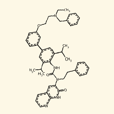 CCN(CCOc1cccc(-c2cc(C(C)C)c(NC(=O)N(CCc3ccccc3)c3cc4cccnc4[nH]c3=O)c(C(C)C)c2)c1)Cc1ccccc1